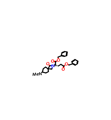 CNC1CCC2(CC1)CN([C@@H](CCC(=O)OCc1ccccc1)C(=O)OCc1ccccc1)C2=O